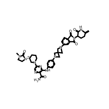 C=C1CCC(N2C(=O)c3ccc(N4CC5(CN(c6ccc(Nc7nc(N8CCC[C@@H](N9CCN(C)C9=O)C8)cnc7C(N)=O)cc6)C5)C4)cc3C2=O)C(=O)N1